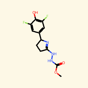 COC(=O)NNC1=NC(c2cc(F)c(O)c(F)c2)CC1